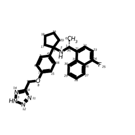 C[C@@H](NC1(c2ccc(OCc3nn[nH]n3)cc2)CCCC1)c1ccc(F)c2ccccc12